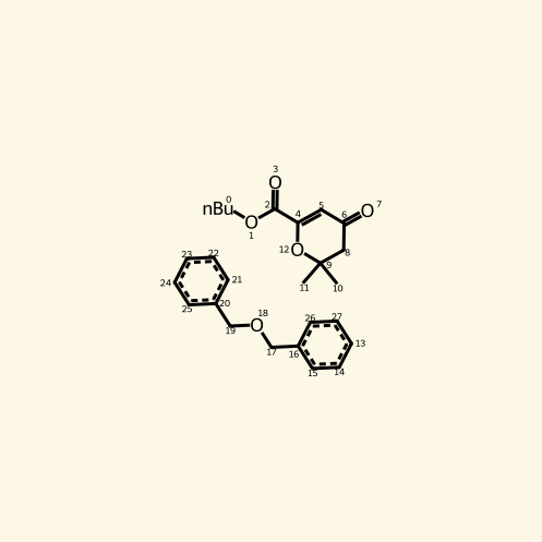 CCCCOC(=O)C1=CC(=O)CC(C)(C)O1.c1ccc(COCc2ccccc2)cc1